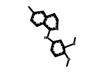 COc1ccc(Nc2nccc3cc(C)ccc23)cc1OC